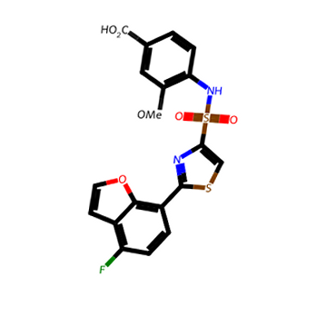 COc1cc(C(=O)O)ccc1NS(=O)(=O)c1csc(-c2ccc(F)c3ccoc23)n1